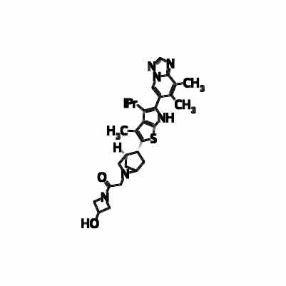 Cc1c(-c2[nH]c3sc([C@@H]4CC5C[C@H]4CN5CC(=O)N4CC(O)C4)c(C)c3c2C(C)C)cn2ncnc2c1C